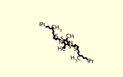 C#Cc1c2nc(-c3ccc(CCC(C)CCCC(C)C)s3)sc2c(C#C)c2nc(-c3ccc(CCC(C)CCCC(C)C)s3)sc12